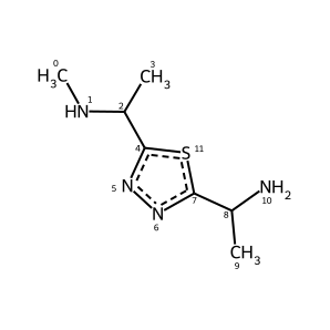 CNC(C)c1nnc(C(C)N)s1